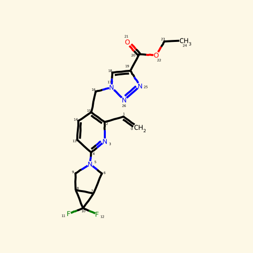 C=Cc1nc(N2CC3C(C2)C3(F)F)ccc1Cn1cc(C(=O)OCC)nn1